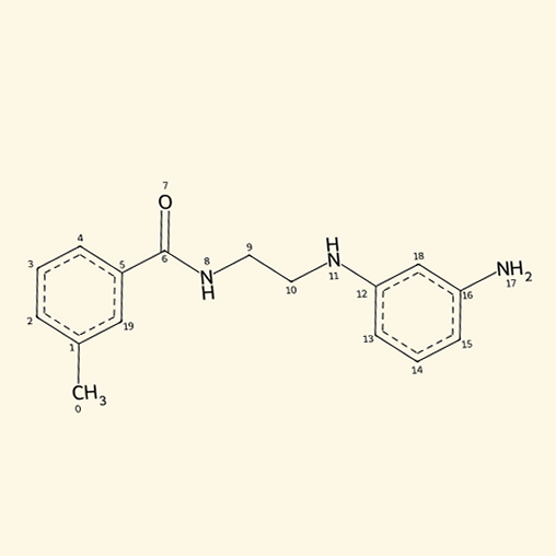 Cc1cccc(C(=O)NCCNc2cccc(N)c2)c1